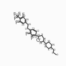 CCCC1CCC(C2CCC(c3ccc(CCc4cc(F)c(C(F)(F)F)c(F)c4)c(F)c3F)OC2)CC1